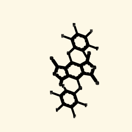 O=c1oc(=O)c2c(Oc3c(F)c(F)c(F)c(F)c3F)c3c(=O)oc(=O)c3c(Oc3c(F)c(F)c(F)c(F)c3F)c12